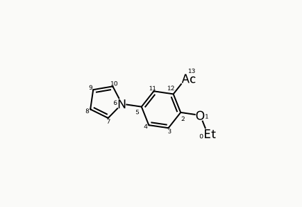 CCOc1ccc(-n2cccc2)cc1C(C)=O